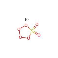 O=S1(=O)OOOO1.[K]